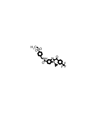 CCS(=O)(=O)c1ccc(CNC(=O)c2ccc3c(c2)nc(C(=O)c2ccc(C(F)(F)F)cc2)n3C2CC2)cc1